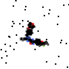 Cc1nc(-c2nc(-c3ccc(OC(C)(C)F)cc3)no2)nn1Cc1cccc(OC2CCOCC2)c1